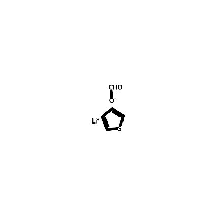 O=C[O-].[Li+].c1ccsc1